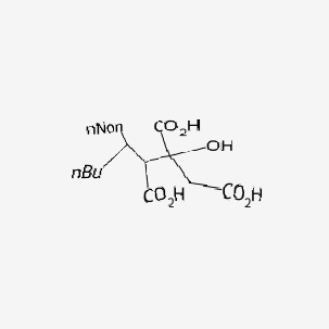 CCCCCCCCCC(CCCC)C(C(=O)O)C(O)(CC(=O)O)C(=O)O